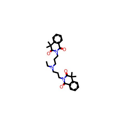 CCN(CCCN1C(=O)c2ccccc2C(C)(C)C1=O)CCCN1C(=O)c2ccccc2C(C)(C)C1=O